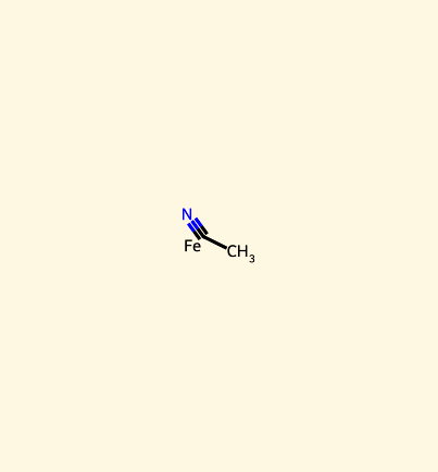 CC#N.[Fe]